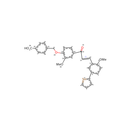 COc1ccc(-c2cccs2)cc1/C=C/C(=O)c1ccc(OCc2ccc(C(=O)O)cc2)c(OC)c1